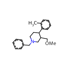 COCC1CN(Cc2ccccc2)CCC1c1ccccc1C